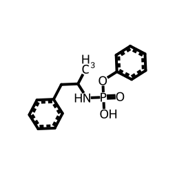 CC(Cc1ccccc1)NP(=O)(O)Oc1ccccc1